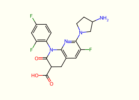 NC1CCN(c2nc3c(cc2F)CC(C(=O)O)C(=O)N3c2ccc(F)cc2F)C1